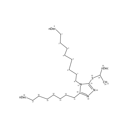 CCCCCCCCCCCCCCCCCCn1c(CCCCCCCCCCCCCCCCC)nnc1SC(C)CCCCCCCCCC